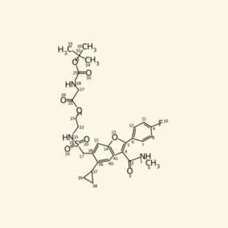 CNC(=O)c1c(-c2ccc(F)cc2)oc2cc(CS(=O)(=O)NCCOC(=O)CNC(=O)OC(C)(C)C)c(C3CC3)cc12